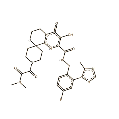 Cc1ncnn1-c1cc(F)ccc1CNC(=O)c1nc2n(c(=O)c1O)CCOC21CCN(C(=O)C(=O)N(C)C)CC1